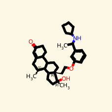 CC(NC1CCCC1)c1cccc(OCC[C@]23CCC4C5CCC(=O)C=C5C[C@H](C)C4C2CC[C@@]3(C)O)c1